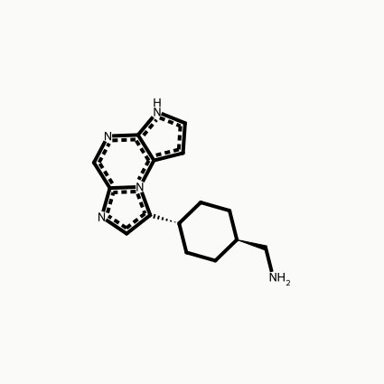 NC[C@H]1CC[C@H](c2cnc3cnc4[nH]ccc4n32)CC1